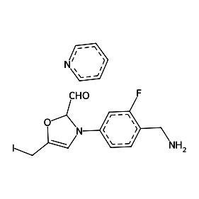 NCc1ccc(N2C=C(CI)OC2C=O)cc1F.c1ccncc1